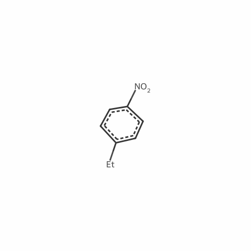 [CH2]Cc1ccc([N+](=O)[O-])cc1